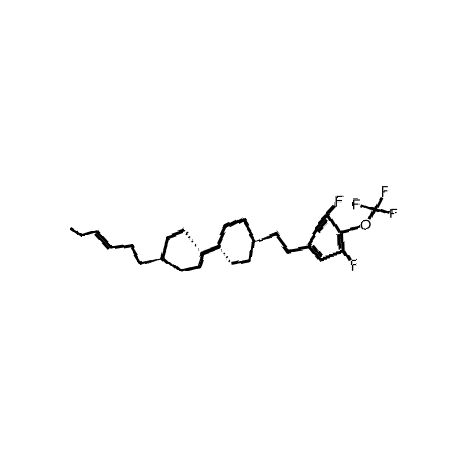 CC/C=C/CC[C@H]1CC[C@H]([C@H]2CC[C@H](CCc3cc(F)c(OC(F)(F)F)c(F)c3)CC2)CC1